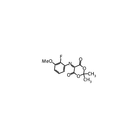 COc1cccc(N=C2C(=O)OC(C)(C)OC2=O)c1F